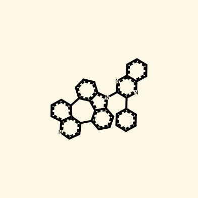 c1ccc(-c2nc3ccccc3nc2-n2c3cccc4c3c3c(cccc32)-c2ccnc3cccc-4c23)cc1